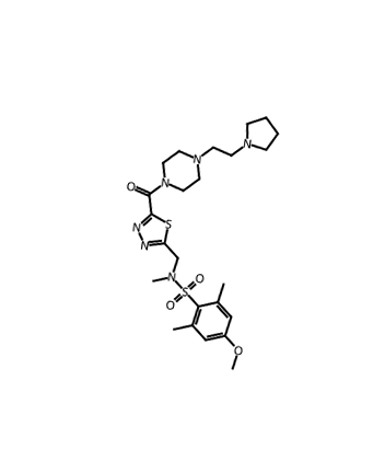 COc1cc(C)c(S(=O)(=O)N(C)Cc2nnc(C(=O)N3CCN(CCN4CCCC4)CC3)s2)c(C)c1